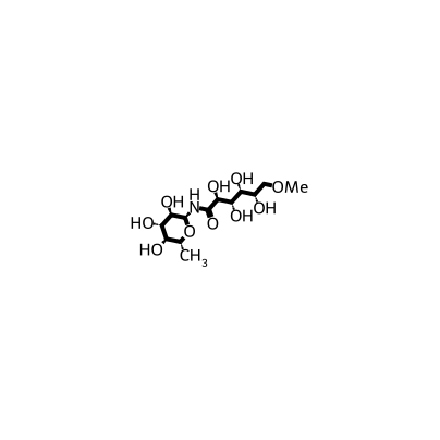 COC[C@H](O)[C@@H](O)[C@H](O)[C@H](O)C(=O)N[C@H]1O[C@H](C)[C@@H](O)[C@H](O)[C@H]1O